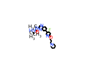 CC(C)NC(=O)N(C)c1cnc2ccc(-c3cnc(OCCCN4CCCCC4)cc3F)cc2n1